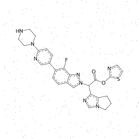 O=C(Oc1nccs1)C(c1ncn2c1CCC2)n1cc2ccc(-c3ccc(N4CCNCC4)nc3)c(F)c2n1